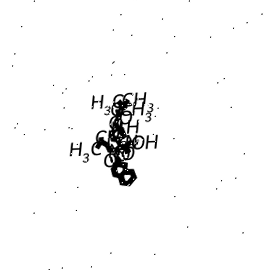 CC(C)CCN(C(C(=O)NO)C1CCN(OC(=O)OC(C)(C)C)CC1)S(=O)(=O)c1ccc2ccccc2c1